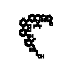 O=C1CC[C@@H](CNCc2ccc(-c3nccc(-c4cccc(Nc5nccc(CNCCO)c5F)c4Cl)c3Cl)cc2OC(F)F)N1